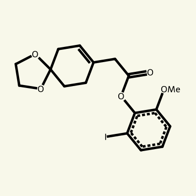 COc1cccc(I)c1OC(=O)CC1=CCC2(CC1)OCCO2